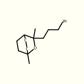 CC(C)CCCC1(C)OC2(C)CCC1CC2